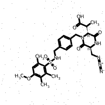 COc1cc(C)c(S(=O)(=O)NCc2ccc(CN3C(=O)[C@H](CN=[N+]=[N-])NC(=O)[C@H]3C(C)C(=O)O)cc2)c(C)c1C